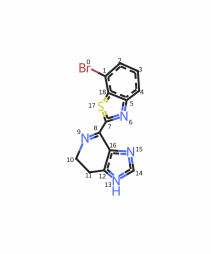 Brc1cccc2nc(C3=NCCc4[nH]cnc43)sc12